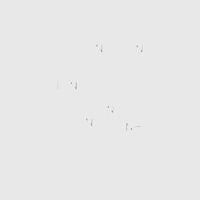 Nc1ncncc1N1N=CC=CN1